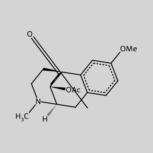 COc1ccc2c(c1)[C@]13CCN(C)[C@H](C2)[C@]1(OC(C)=O)CCC(=O)C3